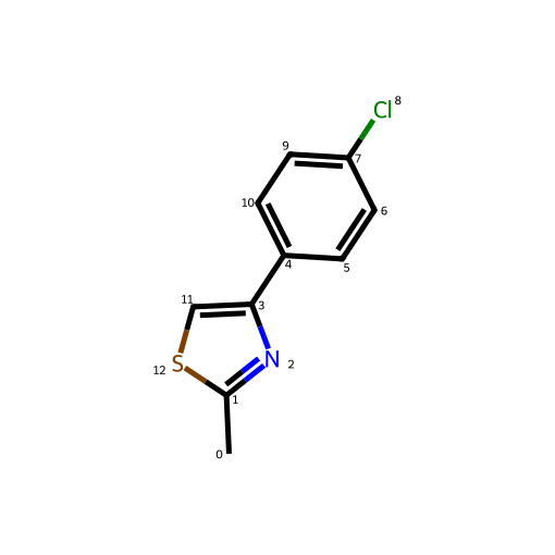 Cc1nc(-c2ccc(Cl)cc2)cs1